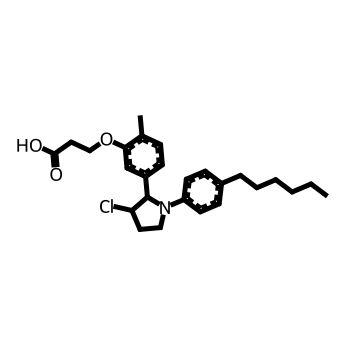 CCCCCCc1ccc(N2CCC(Cl)C2c2ccc(C)c(OCCC(=O)O)c2)cc1